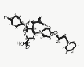 CC(C)c1nn(-c2ccc(F)cc2)c2nc(C(=O)O)cc(N3CCC(OCCN4CCCCC4)CC3)c12